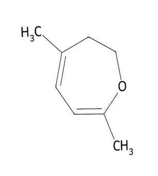 CC1=CC=C(C)OCC1